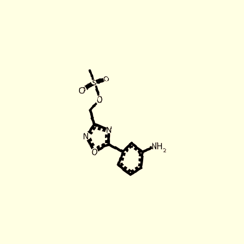 CS(=O)(=O)OCc1noc(-c2cccc(N)c2)n1